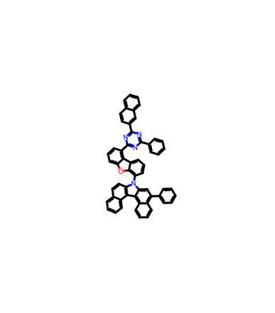 c1ccc(-c2nc(-c3ccc4ccccc4c3)nc(-c3cccc4oc5c(-n6c7ccc8ccccc8c7c7c8ccccc8c(-c8ccccc8)cc76)cccc5c34)n2)cc1